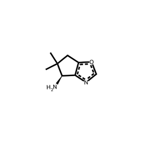 CC1(C)Cc2ocnc2[C@H]1N